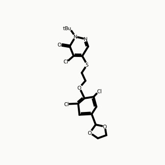 CC(C)(C)n1ncc(SCCOc2c(Cl)cc(C3OCCO3)cc2Cl)c(Cl)c1=O